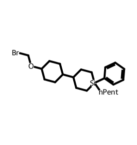 CCCCC[Si]1(c2ccccc2)CCC(C2CCC(OCBr)CC2)CC1